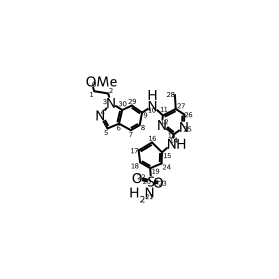 COCCn1ncc2ccc(Nc3nc(Nc4cccc(S(N)(=O)=O)c4)ncc3C)cc21